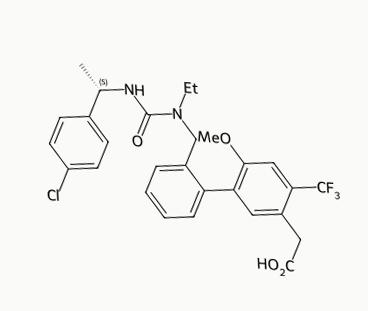 CCN(Cc1ccccc1-c1cc(CC(=O)O)c(C(F)(F)F)cc1OC)C(=O)N[C@@H](C)c1ccc(Cl)cc1